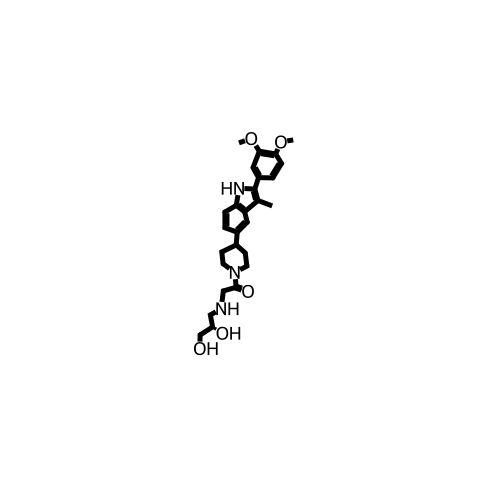 COc1ccc(-c2[nH]c3ccc(C4CCN(C(=O)CNC[C@@H](O)CO)CC4)cc3c2C)cc1OC